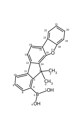 CC1(C)c2c(B(O)O)cccc2-c2ccc3c(oc4ccccc43)c21